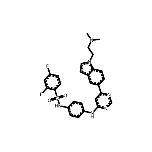 CN(C)CCn1ccc2cc(-c3cc(Nc4ccc(NS(=O)(=O)c5ccc(F)cc5F)cc4)ncn3)ccc21